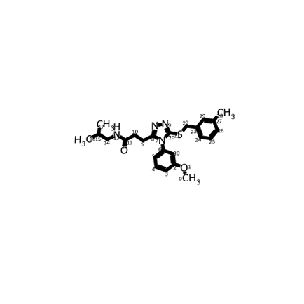 COc1cccc(-n2c(CCC(=O)NCC(C)C)nnc2SCc2cccc(C)c2)c1